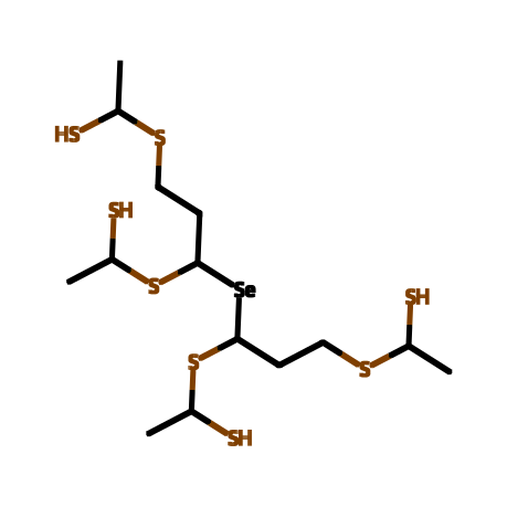 CC(S)SCCC(SC(C)S)[Se]C(CCSC(C)S)SC(C)S